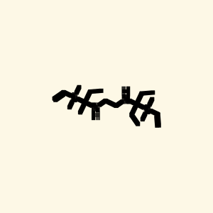 C=CS(C)(C)C(C)(CC)NCCNC(CC)(CC)S(C)(C)C=C